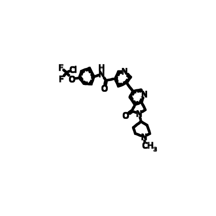 CN1CCC(N2Cc3ncc(-c4cncc(C(=O)Nc5ccc(OC(F)(F)Cl)cc5)c4)cc3C2=O)CC1